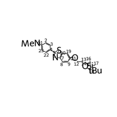 CNc1ccc(-c2nc3ccc(OCCO[Si](C)(C)C(C)(C)C)cc3s2)cc1